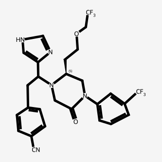 N#Cc1ccc(CC(c2c[nH]cn2)N2CC(=O)N(c3cccc(C(F)(F)F)c3)C[C@@H]2CCOCC(F)(F)F)cc1